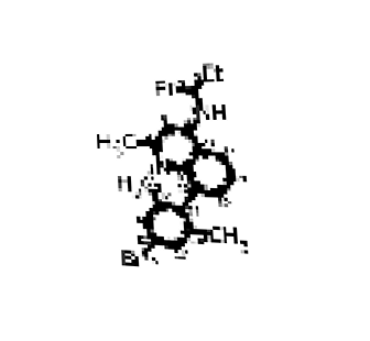 CCC(CC)Nc1cc(C)nc2c(-c3c(C)cc(Br)cc3C)cccc12